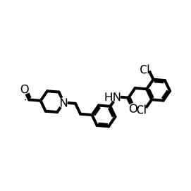 O=[C]C1CCN(CCc2cccc(NC(=O)Cc3c(Cl)cccc3Cl)c2)CC1